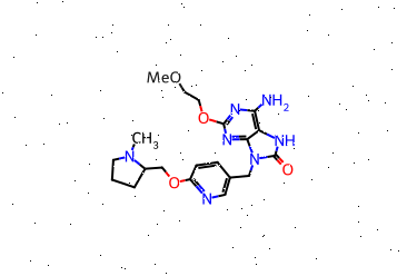 COCCOc1nc(N)c2[nH]c(=O)n(Cc3ccc(OCC4CCCN4C)nc3)c2n1